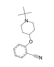 CC(C)(C)N1CCC(Oc2ccccc2C#N)CC1